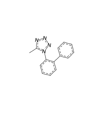 Cc1nnnn1-c1ccccc1-c1ccccc1